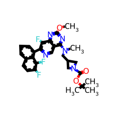 COc1nc(N(C)CC2CN(C(=O)OC(C)(C)C)C2)c2cnc(-c3cccc4ccc(F)c(F)c34)c(F)c2n1